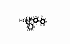 CC(O)(COc1ccc(-c2ccccc2I)cc1)CN1CCCCCC1